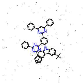 CC(C)(C)c1ccc2c(c1)c1cc(C(C)(C)C)ccc1n2-c1ccc(-c2nc(-c3ccccc3)cc(-c3ccccc3)n2)cc1-c1nc(-c2ccccc2)nc(-c2ccccc2)n1